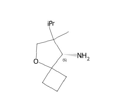 CC(C)C1(C)COC2(CCC2)[C@H]1N